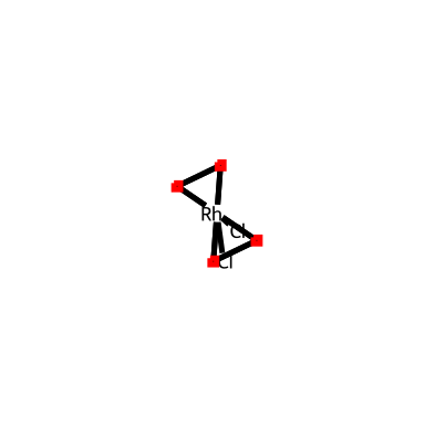 [Cl][Rh]1234([Cl])([CH2][CH2]1)([CH2][CH2]2)([CH2][CH2]3)[CH2][CH2]4